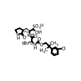 CC(C)(COC(=O)N[C@H](C(=O)N[C@@H](C[C@@H]1CCNC1=O)C(O)S(=O)(=O)O)C(C)(C)C)c1cccc(Cl)c1